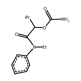 CCN(C(=O)C(OC(N)=O)C(C)C)c1ccccc1